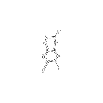 Cc1cc2cc(Br)ccc2oc1=O